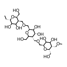 CC[C@@H]1O[C@@H](CO)[C@@H](COC[C@@H]2OC(CO)[C@@H](COC[C@@H]3O[C@@H](CO)[C@@H](COC)C(O)C3O)[C@@H](O)C2O)C(O)C1O